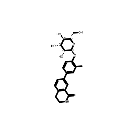 Cc1cc(-c2ccc3c(c2)C(=O)NCC3)ccc1O[C@@H]1O[C@@H](CO)[C@H](O)[C@@H](O)[C@H]1O